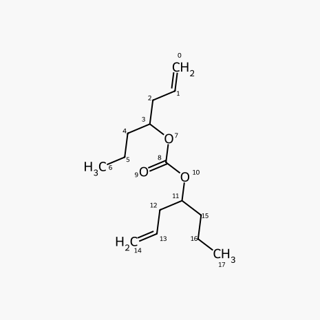 C=CCC(CCC)OC(=O)OC(CC=C)CCC